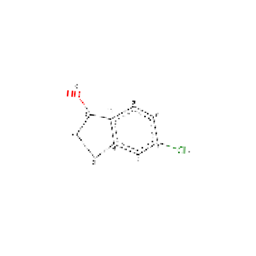 OC1CCc2cc(Cl)ccc21